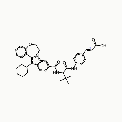 CC(C)(C)C(NC(=O)c1ccc2c(C3CCCCC3)c3n(c2c1)CCOc1ccccc1-3)C(=O)Nc1ccc(/C=C/C(=O)O)cc1